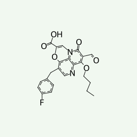 CCCCOc1c(C=O)c(=O)n2c3c(c(Cc4ccc(F)cc4)cnc13)OC(C(=O)O)=C2